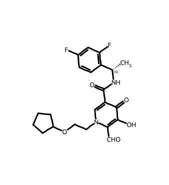 C[C@H](NC(=O)c1cn(CCOC2CCCC2)c(C=O)c(O)c1=O)c1ccc(F)cc1F